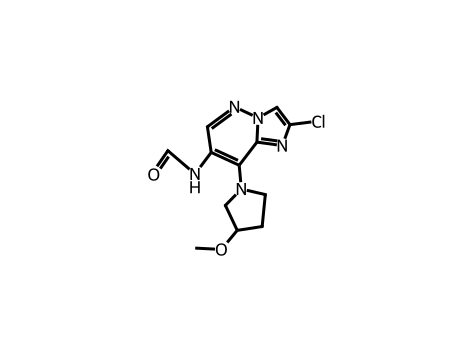 COC1CCN(c2c(NC=O)cnn3cc(Cl)nc23)C1